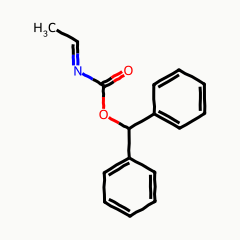 CC=NC(=O)OC(c1ccccc1)c1ccccc1